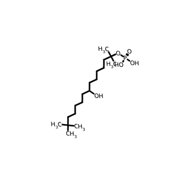 CC(C)(C)CCCCCC(O)CCCCCC(C)(C)OP(=O)(O)O